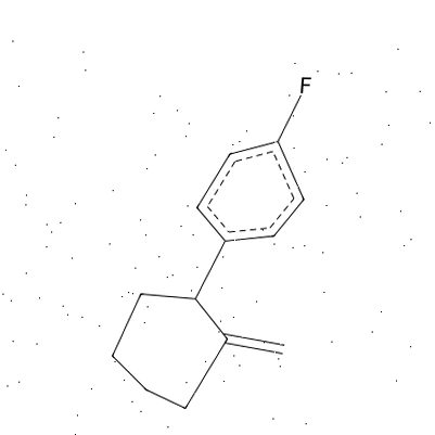 C=C1CCCCC1c1ccc(F)cc1